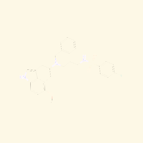 COc1ccc2[nH]cc3c2c1CC(N(CCCNS(=O)(=O)c1ccc(F)cc1)Cc1ccccc1)C3